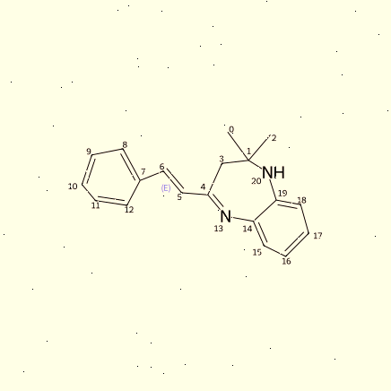 CC1(C)CC(/C=C/c2ccccc2)=Nc2ccccc2N1